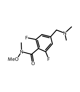 CON(C)C(=O)c1c(F)cc(CN(C)C)cc1F